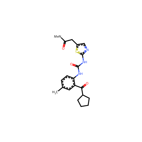 CNC(=O)Cc1cnc(NC(=O)Nc2ccc(C)cc2C(=O)C2CCCC2)s1